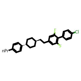 CCCc1ccc([C@H]2CC[C@H](CCc3cc(F)c(-c4ccc(Cl)cc4)c(F)c3)CC2)cc1